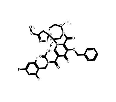 COC1=NO[C@@]2(CC[C@H](C)N3C[C@H]2n2cc(C(=O)N(Cc4c(F)cc(F)cc4F)C(=O)O)c(=O)c(OCc4ccccc4)c2C3=O)C1